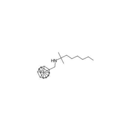 CCCCCCC(C)(C)NC[C]12[CH]3[CH]4[CH]5[CH]1[Fe]45321678[CH]2[CH]1[CH]6[CH]7[CH]28